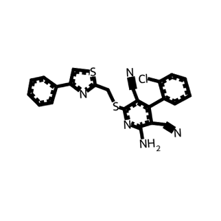 N#Cc1c(N)nc(SCc2nc(-c3ccccc3)cs2)c(C#N)c1-c1ccccc1Cl